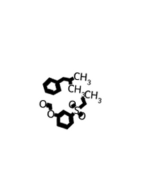 CC(C)Cc1ccccc1.CCCS(=O)(=O)c1cccc(OC=O)c1